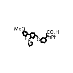 CCC[C@@H](CC(=O)O)c1cccc(OCc2ccc(-c3cc(OC)ccc3F)c(CN3CCCC3)c2)c1